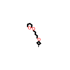 C[C@H]1C[C@H](OCCCCCOC2CCCCO2)C1